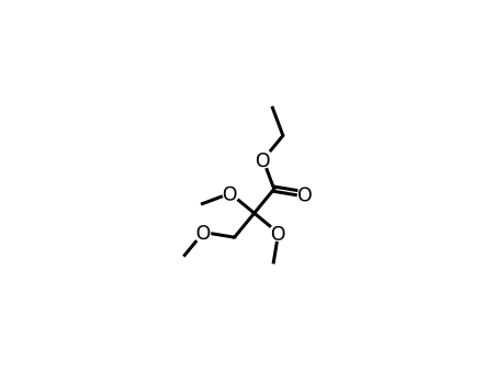 CCOC(=O)C(COC)(OC)OC